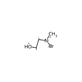 CN(Br)CCO